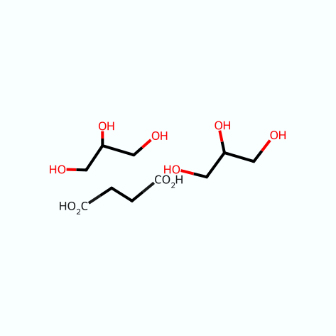 O=C(O)CCC(=O)O.OCC(O)CO.OCC(O)CO